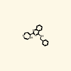 C1=CNC(c2nc(NCc3ccccc3)c3ccccc3n2)=CC=N1